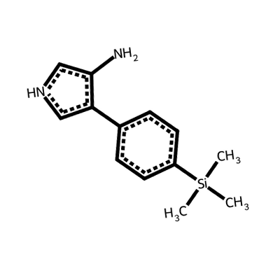 C[Si](C)(C)c1ccc(-c2c[nH]cc2N)cc1